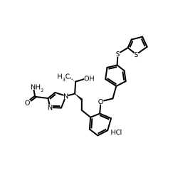 C[C@H](O)[C@@H](CCc1ccccc1OCc1ccc(Sc2cccs2)cc1)n1cnc(C(N)=O)c1.Cl